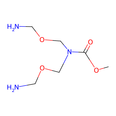 COC(=O)N(COCN)COCN